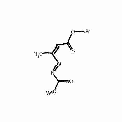 COC(=O)N=N/C(C)=C\C(=O)OC(C)C